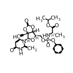 C#C[C@@]12OC(=O)O[C@@H]1[C@@H](COP(=O)(N[C@@H](C)C(=O)OC(C)C)Oc1ccccc1)O[C@H]2N1C=CC(=O)NC1=C